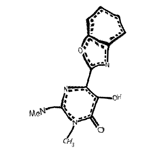 CNc1nc(-c2nc3ccccc3o2)c(O)c(=O)n1C